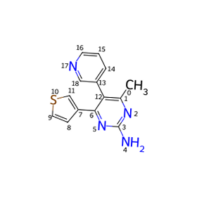 Cc1nc(N)nc(-c2ccsc2)c1-c1cccnc1